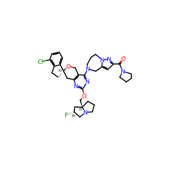 O=C(c1cc2n(n1)CCCN(c1nc(OC[C@@]34CCCN3C[C@H](F)C4)nc3c1CO[C@@]1(CCc4c(Cl)cccc41)C3)C2)N1CCCC1